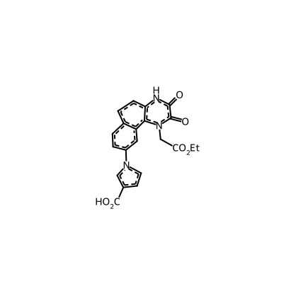 CCOC(=O)Cn1c(=O)c(=O)[nH]c2ccc3ccc(-n4ccc(C(=O)O)c4)cc3c21